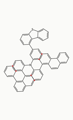 c1ccc(-c2cccc3cccc(-c4ccccc4N(c4cccc(-c5cccc6sc7ccccc7c56)c4)c4ccccc4-c4cccc5c4ccc4ccccc45)c23)cc1